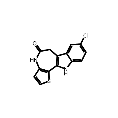 O=C1Cc2c([nH]c3ccc(Cl)cc23)-c2sccc2N1